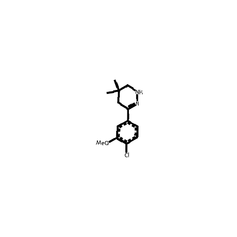 COc1cc(C2=NNCC(C)(C)C2)ccc1Cl